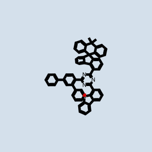 CC1(C)c2ccccc2C2(c3ccccc3-c3c(-c4nc(-c5ccc(-c6ccccc6)cc5-c5ccccc5)nc(-c5cccc6c5sc5ccccc56)n4)cccc32)c2ccccc21